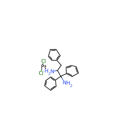 NC(Cc1ccccc1)C(N)(c1ccccc1)c1ccccc1.[Cl][Pt][Cl]